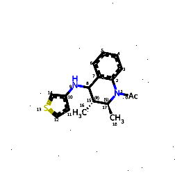 CC(=O)N1c2ccccc2C(Nc2ccsc2)[C@@H](C)[C@@H]1C